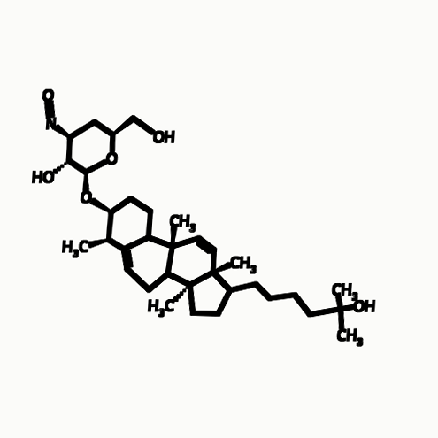 C[C@@H]1C2=CCC3[C@@](C)(C=C[C@]4(C)C(CCCCC(C)(C)O)CC[C@@]34C)C2CC[C@@H]1O[C@@H]1O[C@H](CO)C[C@H](N=O)[C@H]1O